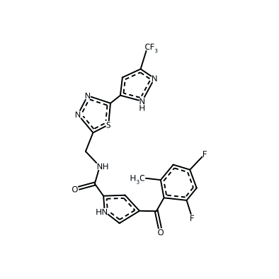 Cc1cc(F)cc(F)c1C(=O)c1c[nH]c(C(=O)NCc2nnc(-c3cc(C(F)(F)F)n[nH]3)s2)c1